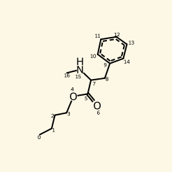 CCCCOC(=O)C(Cc1ccccc1)NC